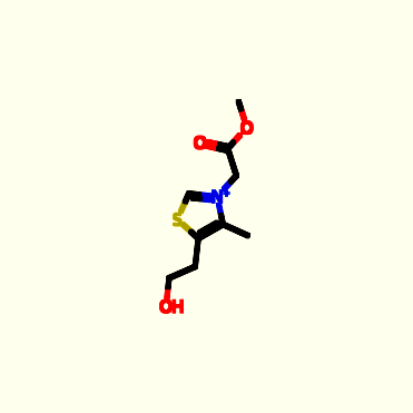 COC(=O)C[n+]1csc(CCO)c1C